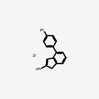 CCCC1=Cc2c(cccc2-c2ccc(C(C)C)cc2)[CH]1.[Zr]